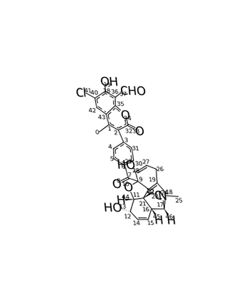 Cc1c(-c2ccc(C(=O)C34O[C@H]5[C@@H](O)C=C[C@H]6[C@H]7CC(=C3[C@]65CCN7C)CC=C4O)cc2)c(=O)oc2c(C=O)c(O)c(Cl)cc12